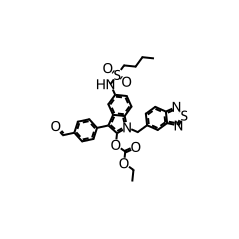 CCCCS(=O)(=O)Nc1ccc2c(c1)c(-c1ccc(C=O)cc1)c(OC(=O)OCC)n2Cc1ccc2nsnc2c1